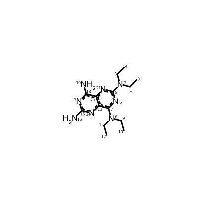 CCN(CC)c1nc(N(CC)CC)c2nc(N)nc(N)c2n1